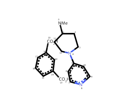 CNC1CCN(c2ccncc2)CC1.O=C(O)c1cccc(C(=O)O)c1